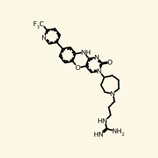 N=C(N)NCCCN1CCCC(n2cc3c(nc2=O)Nc2cc(-c4ccc(C(F)(F)F)nc4)ccc2O3)CC1